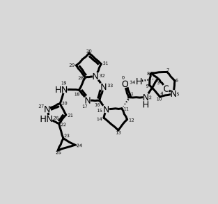 O=C(N[C@@H]1CN2CCC1CC2)[C@@H]1CCCN1c1nc(Nc2cc(C3CC3)[nH]n2)c2cccn2n1